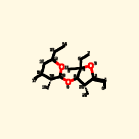 C/C=C1/OC(C)(CC)C(OC2OC(CC)CC(C)[C@H]2C)[C@H]1C